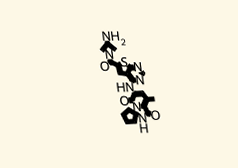 Cc1cc(Nc2ncnc3sc(C(=O)N4CC(N)C4)cc23)c(=O)n2c1C(=O)NC21CCCC1